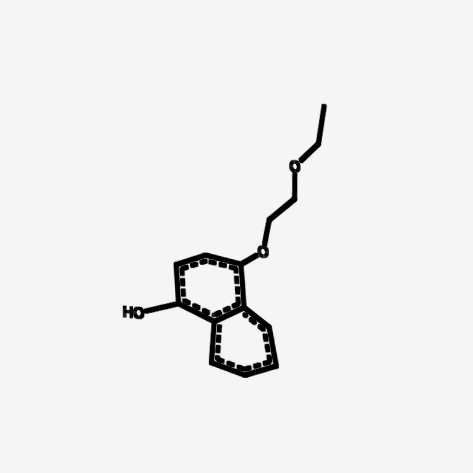 CCOCCOc1ccc(O)c2ccccc12